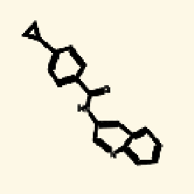 O=C(Nc1cnc2ccccc2c1)c1ccc(C2CC2)cc1